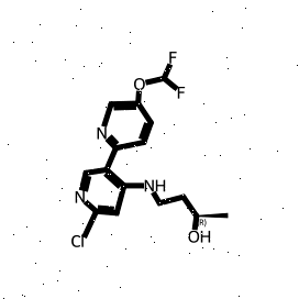 C[C@@H](O)CCNc1cc(Cl)ncc1-c1ccc(OC(F)F)cn1